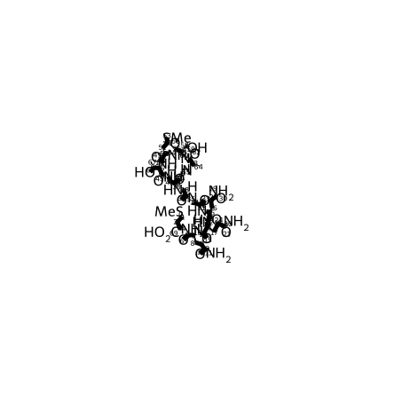 CSCC[C@H](NC(=O)[C@H](CCC(N)=O)NC(=O)[C@H](CCC(N)=O)NC(=O)[C@H](CCC(N)=O)NC(=O)CNC(=O)CNC(=O)CNC(=O)[C@@H](NC(=O)[C@H](CCSC)NC(=O)[C@H](CO)NC(=O)[C@H](C)N)[C@@H](C)O)C(=O)O